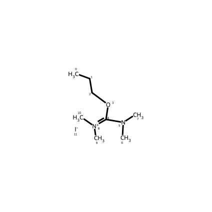 CCCOC(N(C)C)=[N+](C)C.[I-]